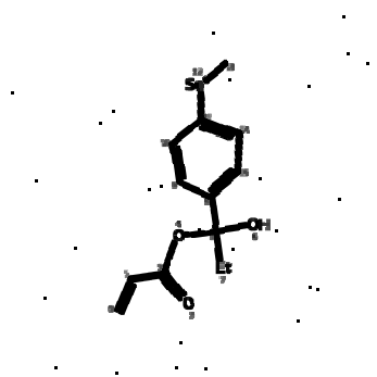 C=CC(=O)OC(O)(CC)c1ccc([Se]C)cc1